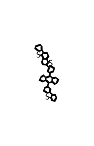 c1ccc2c(c1)sc1ccc(-c3c4ccccc4c(-c4ccc5sc6c(ccc7c6ccc6c8ccccc8sc67)c5c4)c4ccccc34)cc12